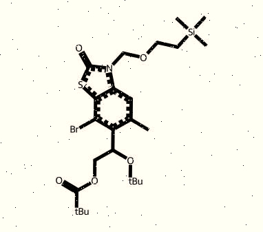 Cc1cc2c(sc(=O)n2COCC[Si](C)(C)C)c(Br)c1C(COC(=O)C(C)(C)C)OC(C)(C)C